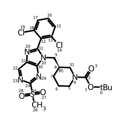 CC(C)(C)OC(=O)N1CCC[C@@H](Cn2c(-c3c(Cl)cccc3Cl)nc3cnc(S(C)(=O)=O)nc32)C1